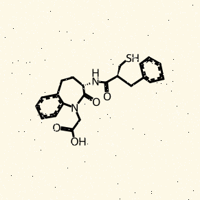 O=C(O)CN1C(=O)[C@@H](NC(=O)[C@@H](CS)Cc2ccccc2)CCc2ccccc21